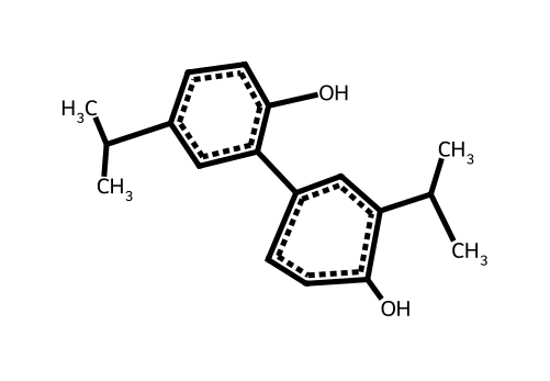 CC(C)c1ccc(O)c(-c2ccc(O)c(C(C)C)c2)c1